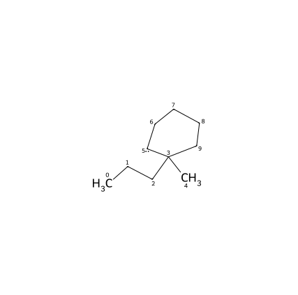 CCCC1(C)[C]CCCC1